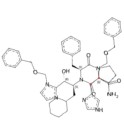 NC(=O)[C@H](Cc1c[nH]cn1)N(COCc1ccccc1)C(=O)[C@H](Cc1ccccc1)N(C(=O)C1CCCC1)[C@@H](CC1CCCCC1)[C@@H](O)c1nccn1COCc1ccccc1